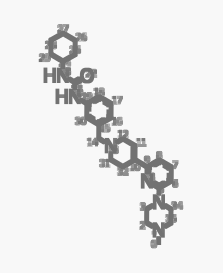 CN1CCN(c2cccc(C3=CCN(Cc4cccc(NC(=O)NC5CCCCC5)c4)CC3)n2)CC1